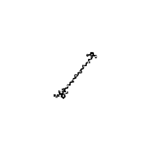 NC(=O)C1(NC(=O)CCOCCOCCOCCOCCOCCOCCN2C(=O)C=CC2=O)CCCC1